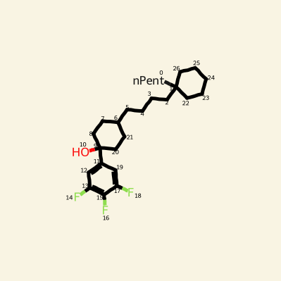 CCCCCC1(CCCCC2CCC(O)(c3cc(F)c(F)c(F)c3)CC2)CCCCC1